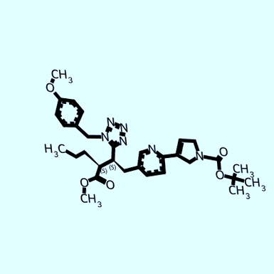 CCC[C@H](C(=O)OC)[C@H](Cc1ccc(C2=CCN(C(=O)OC(C)(C)C)C2)nc1)c1nnnn1Cc1ccc(OC)cc1